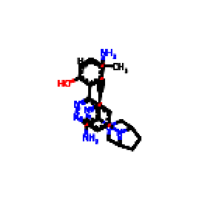 CC(C)(N)C#Cc1cc(N2C3CCC2CN(c2cc(-c4ccccc4O)nnc2N)C3)ccn1